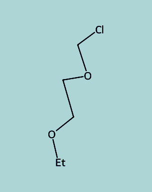 [CH2]COCCOCCl